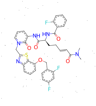 CN(C)C(=O)/C=C/CC[C@H](NC(=O)c1ccccc1F)C(=O)Nc1cccn(Cc2nc3cccc(OCc4ccc(F)cc4F)c3s2)c1=O